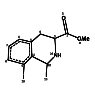 COC(=O)C1Cc2cccc(I)c2C(I)N1